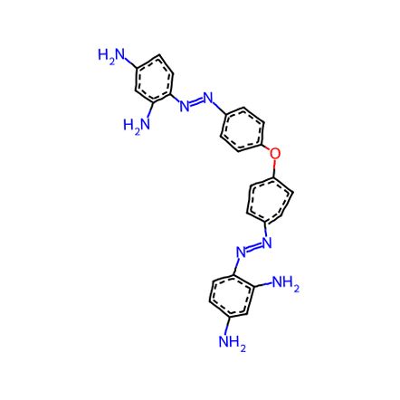 Nc1ccc(N=Nc2ccc(Oc3ccc(N=Nc4ccc(N)cc4N)cc3)cc2)c(N)c1